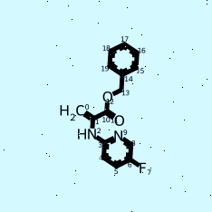 C=C(Nc1ccc(F)cn1)C(=O)OCc1ccccc1